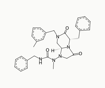 Cc1cccc(CN2C[C@H]3N(C(=O)CN3N(C)C(=O)NCc3ccccc3)[C@@H](Cc3ccccc3)C2=O)c1